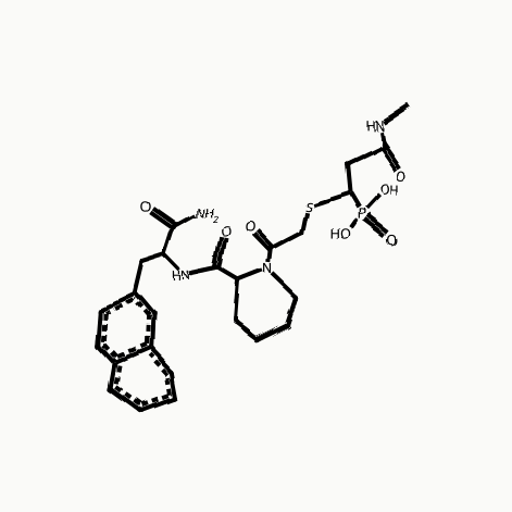 CNC(=O)CC(SCC(=O)N1CCCCC1C(=O)NC(Cc1ccc2ccccc2c1)C(N)=O)P(=O)(O)O